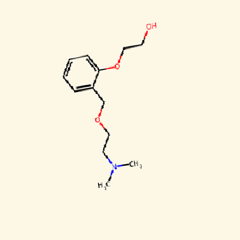 CN(C)CCOCc1ccccc1OCCO